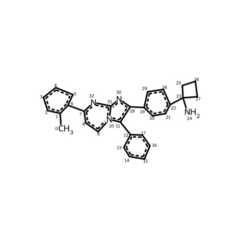 Cc1ccccc1-c1ccn2c(-c3ccccc3)c(-c3ccc(C4(N)CCC4)cc3)nc2n1